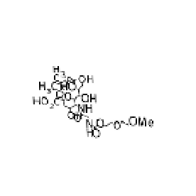 COCCOCCOC(=O)NCC(=O)NC1C(O)CC(OCC(C)(C)C(C)C)(C(=O)O)OC1C(O)C(O)CO